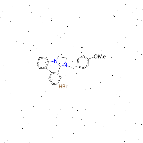 Br.COc1ccc(CN2CCN3c4ccccc4-c4ccccc4C23)cc1